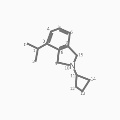 CC(C)c1cccc2c1CN(C1CCC1)C2